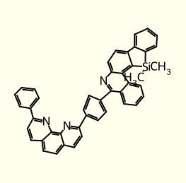 C[Si]1(C)c2ccccc2-c2ccc3nc(-c4ccc(-c5ccc6ccc7ccc(-c8ccccc8)nc7c6n5)cc4)c4ccccc4c3c21